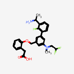 CC(N)c1cccc(-c2cc(COc3ccccc3CC(=O)O)cc(N(C)CC(F)F)c2)c1F